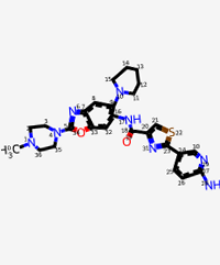 CN1CCN(c2nc3cc(N4CCCCC4)c(NC(=O)c4csc(-c5ccc(N)nc5)n4)cc3o2)CC1